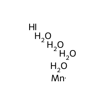 I.O.O.O.O.[Mn]